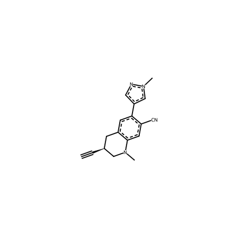 C#C[C@H]1Cc2cc(-c3cnn(C)c3)c(C#N)cc2N(C)C1